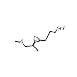 COCC(C)OCCCS